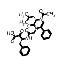 CC(=O)N1C=C(c2ccccc2)N(CC(=O)N[C@@H](Cc2ccccc2)C(=O)C(=O)O)C(=O)[C@@H]1CC(C)C